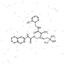 CN(C(=O)NCc1ccccc1Cl)[C@@H](CCC(C)(C)O)COC(=O)Nc1cc2ccccc2cn1